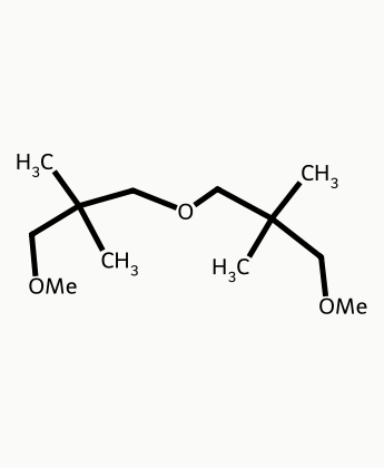 COCC(C)(C)COCC(C)(C)COC